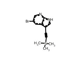 C[Si](C)(C)C#Cc1c[nH]c2ncc(Br)cc12